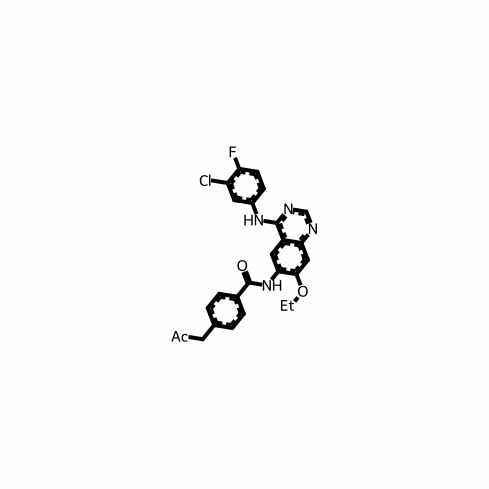 CCOc1cc2ncnc(Nc3ccc(F)c(Cl)c3)c2cc1NC(=O)c1ccc(CC(C)=O)cc1